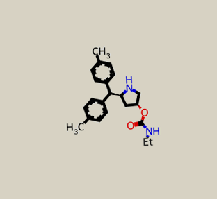 CCNC(=O)O[C@@H]1CN[C@H](C(c2ccc(C)cc2)c2ccc(C)cc2)C1